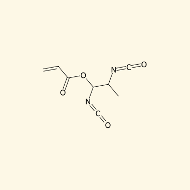 C=CC(=O)OC(N=C=O)C(C)N=C=O